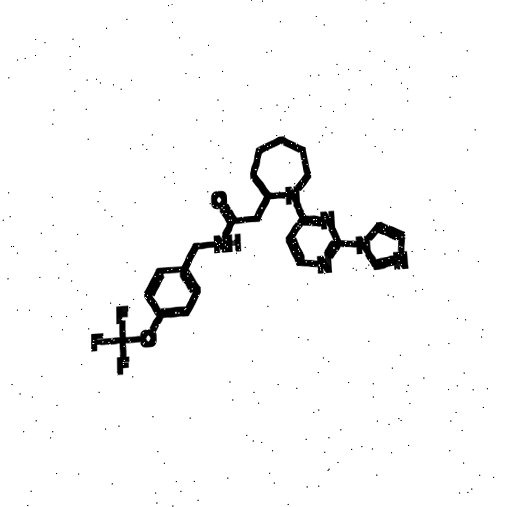 O=C(CC1CCCCCN1c1ccnc(-n2ccnc2)n1)NCc1ccc(OC(F)(F)F)cc1